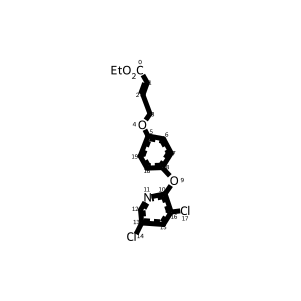 CCOC(=O)C=CCOc1ccc(Oc2ncc(Cl)cc2Cl)cc1